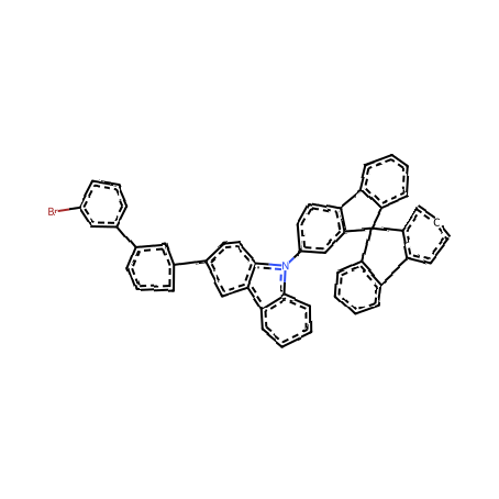 Brc1cccc(-c2cccc(-c3ccc4c(c3)c3ccccc3n4-c3ccc4c(c3)C3(c5ccccc5-c5ccccc53)c3ccccc3-4)c2)c1